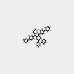 c1ccc(-c2ccccc2-c2ccc3c(-c4ccc(-c5cccnc5)cc4)c4ccccc4c(-c4ccc(-c5cccnc5)cc4)c3c2)cc1